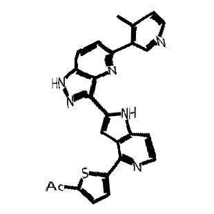 CC(=O)c1ccc(-c2nccc3[nH]c(-c4n[nH]c5ccc(-c6cnccc6C)nc45)cc23)s1